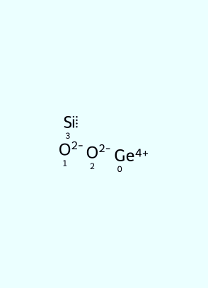 [Ge+4].[O-2].[O-2].[Si]